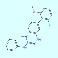 COc1cccc(F)c1-c1ccc2c(c1)NN=C(Nc1ccccc1)N2C